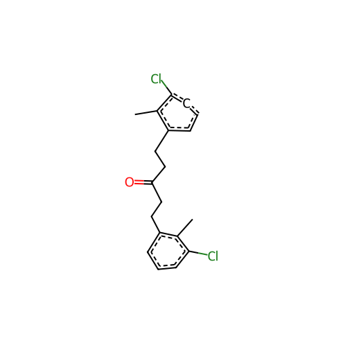 Cc1c(Cl)cccc1CCC(=O)CCc1cccc(Cl)c1C